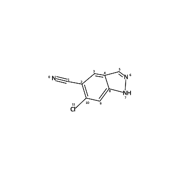 N#Cc1cc2cn[nH]c2cc1Cl